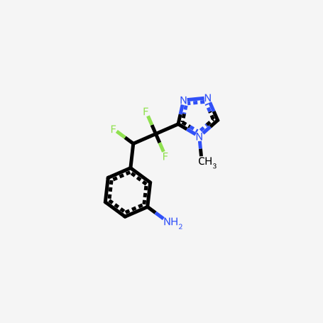 Cn1cnnc1C(F)(F)C(F)c1cccc(N)c1